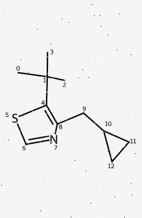 CC(C)(C)c1scnc1CC1CC1